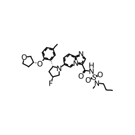 CCCN(C)S(=O)(=O)NC(=O)c1cnc2ccc(N3C[C@@H](F)C[C@@H]3c3cc(C)ccc3O[C@@H]3CCOC3)cn12